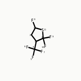 FC1CC(C(F)(F)F)C(F)(F)S1